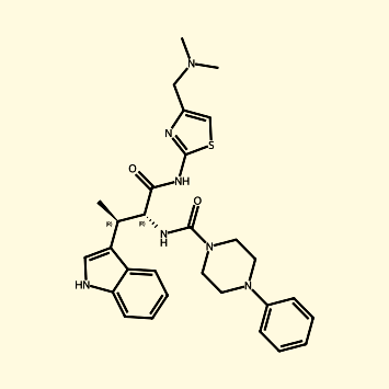 C[C@H](c1c[nH]c2ccccc12)[C@@H](NC(=O)N1CCN(c2ccccc2)CC1)C(=O)Nc1nc(CN(C)C)cs1